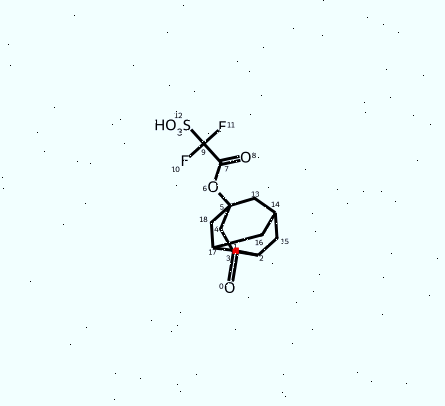 O=C1C2CCC3(OC(=O)C(F)(F)S(=O)(=O)O)CC(C2)CC1C3